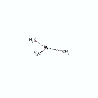 CCCCCCCCCCCCCCCCCCCN1C=CN(CCCCCCCCCCCCCC)C1CCCCCCCCC